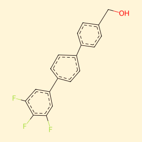 OCc1ccc(-c2ccc(-c3cc(F)c(F)c(F)c3)cc2)cc1